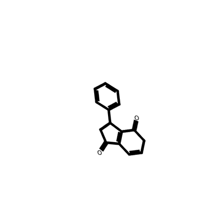 O=C1CC(c2ccccc2)C2=C1C=CCC2=O